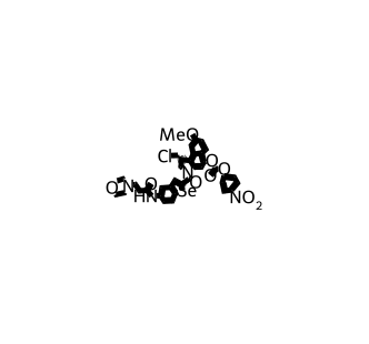 COc1ccc2c(OC(=O)Oc3ccc([N+](=O)[O-])cc3)cc3c(c2c1)[C@H](CCl)CN3C(=O)c1cc2cc(NC(=O)CCN3CCOCC3)ccc2[se]1